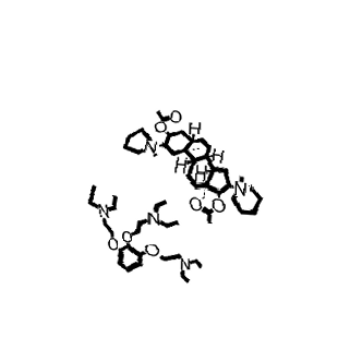 CC(=O)O[C@H]1C[C@@H]2CC[C@@H]3[C@H](CC[C@@]4(C)[C@H]3C[C@H]([N+]3(C)CCCCC3)[C@@H]4OC(C)=O)[C@@]2(C)C[C@@H]1[N+]1(C)CCCCC1.CCN(CC)CCOc1cccc(OCCN(CC)CC)c1OCCN(CC)CC